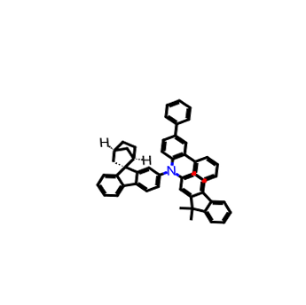 CC1(C)c2ccccc2-c2ccc(N(c3ccc4c(c3)[C@@]3(C[C@H]5CC[C@@H]3C5)c3ccccc3-4)c3ccc(-c4ccccc4)cc3-c3ccccc3)cc21